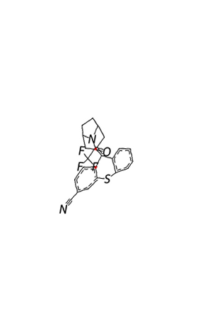 N#Cc1ccc2c(c1)Sc1ccccc1C2=C1CC2CCC(C1)N2C(=O)C(F)(F)F